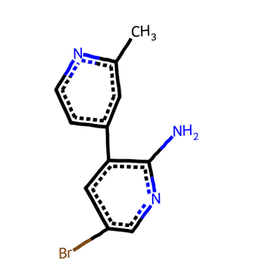 Cc1cc(-c2cc(Br)cnc2N)ccn1